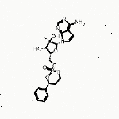 C[C@@]1(O)[C@H](O)[C@@H](CO[P@@]2(=O)OCC[C@@H](c3ccccc3)O2)O[C@H]1n1ccc2c(N)ncnc21